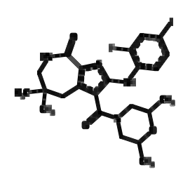 CC1CN(C(=O)c2c(Nc3ccc(I)cc3F)sc3c2CC(C)(C)CNC3=O)CC(C)O1